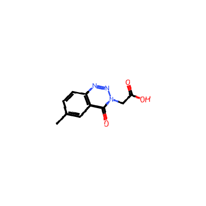 Cc1ccc2nnn(CC(=O)O)c(=O)c2c1